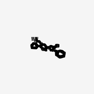 NCCN(CC(=O)N1CC(=O)N(c2ccccc2)C1)C(=O)c1ccccc1